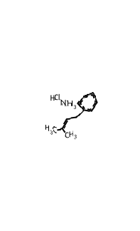 CC(C)=CCc1ccccc1.Cl.N